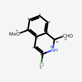 COc1cccc2c1C=C(Cl)NC2C=O